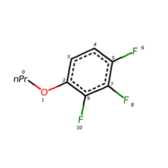 [CH2]CCOc1ccc(F)c(F)c1F